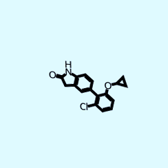 O=C1Cc2cc(-c3c(Cl)cccc3OC3CC3)ccc2N1